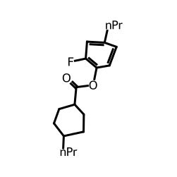 CCCc1ccc(OC(=O)C2CCC(CCC)CC2)c(F)c1